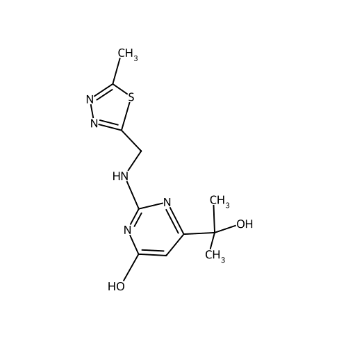 Cc1nnc(CNc2nc(O)cc(C(C)(C)O)n2)s1